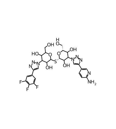 Nc1ccc(-c2cn(C3C(O)[C@@H](CO)O[C@@H](SC4OC(CO)C(O)C(n5cc(-c6cc(F)c(F)c(F)c6)nn5)C4O)C3O)nn2)cn1